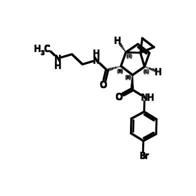 CNCCNC(=O)[C@H]1[C@H](C(=O)Nc2ccc(Br)cc2)[C@@H]2C=C[C@H]1C21CC1